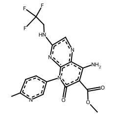 COC(=O)c1c(N)c2ncc(NCC(F)(F)F)nc2n(-c2ccc(C)nc2)c1=O